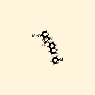 COc1ccnc2c(=O)n(-c3ccc4nc(Oc5cccnc5Cl)ccc4c3)c(=S)oc12